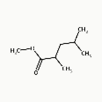 COC(=O)C(C)CC(C)C